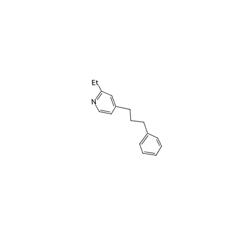 CCc1cc(CCCc2ccccc2)ccn1